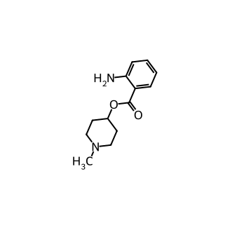 CN1CCC(OC(=O)c2ccccc2N)CC1